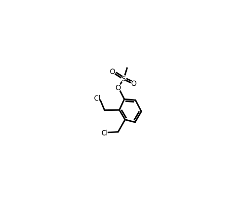 CS(=O)(=O)Oc1cccc(CCl)c1CCl